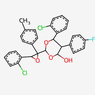 Cc1ccc(C2(C3OC(O)C(c4ccc(F)cc4)C(c4ccccc4Cl)O3)OC2c2ccccc2Cl)cc1